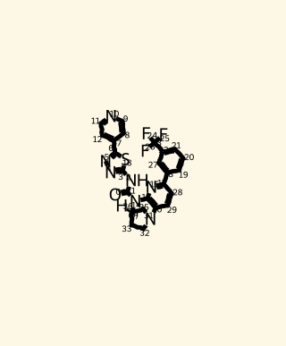 O=C(Nc1nnc(-c2ccncc2)s1)N1c2nc(-c3cccc(C(F)(F)F)c3)ccc2N2CC[C@H]1C2